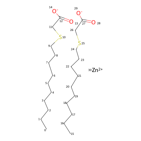 CCCCCCCCCCSCC(=O)[O-].CCCCCCCCCCSCC(=O)[O-].[Zn+2]